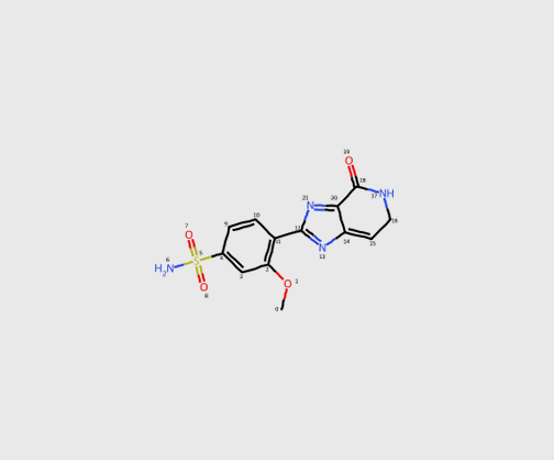 COc1cc(S(N)(=O)=O)ccc1C1=NC2=CCNC(=O)C2=N1